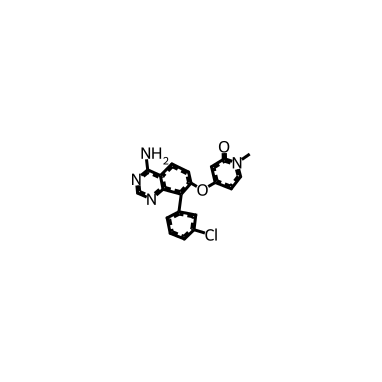 Cn1ccc(Oc2ccc3c(N)ncnc3c2-c2cccc(Cl)c2)cc1=O